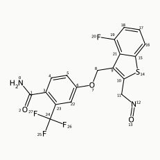 NC(=O)c1ccc(OCc2c(CN=O)sc3cccc(F)c23)cc1C(F)(F)F